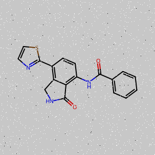 O=C(Nc1ccc(-c2nccs2)c2c1C(=O)NC2)c1ccccc1